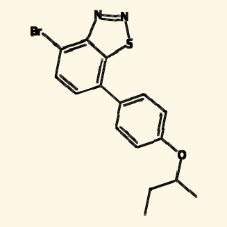 CCC(C)Oc1ccc(-c2ccc(Br)c3nnsc23)cc1